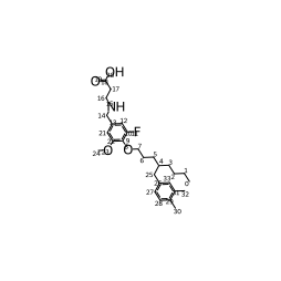 CCCCC(CCCOc1c(F)cc(CNCCC(=O)O)cc1OC)Cc1ccc(C)c(C)c1